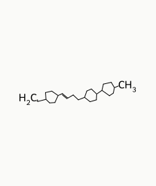 C=CC1CCC(C=CCCC2CCC(C3CCC(C)CC3)CC2)CC1